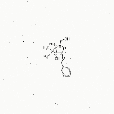 CC1(C)[C@]2(O)[C@H](OCc3ccccc3)O[C@H](CO)[C@]12O